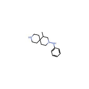 CC1CN(Nc2ccccc2)CCC12CCNCC2